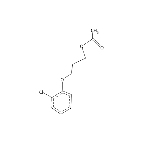 CC(=O)OCCCOc1ccccc1Cl